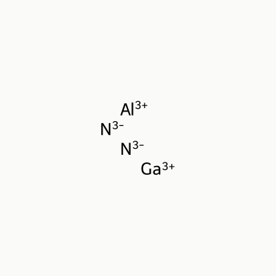 [Al+3].[Ga+3].[N-3].[N-3]